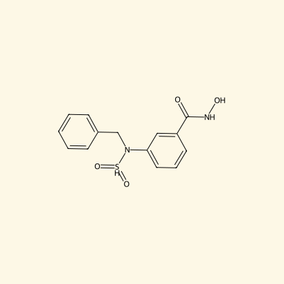 O=C(NO)c1cccc(N(Cc2ccccc2)[SH](=O)=O)c1